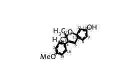 COc1ccc(C2=Cc3ccc(O)cc3OC2(C)C)cc1